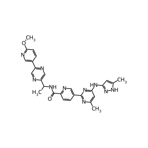 COc1ccc(-c2cnc(C(C)NC(=O)c3ccc(-c4nc(C)cc(Nc5cc(C)[nH]n5)n4)cn3)cn2)cn1